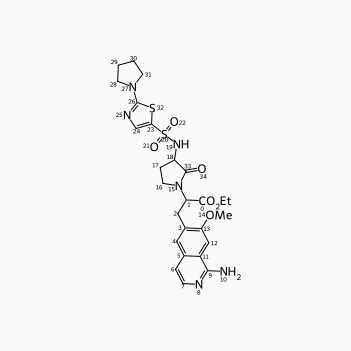 CCOC(=O)C(Cc1cc2ccnc(N)c2cc1OC)N1CCC(NS(=O)(=O)c2cnc(N3CCCC3)s2)C1=O